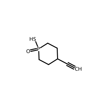 C#CC1CCP(=O)(S)CC1